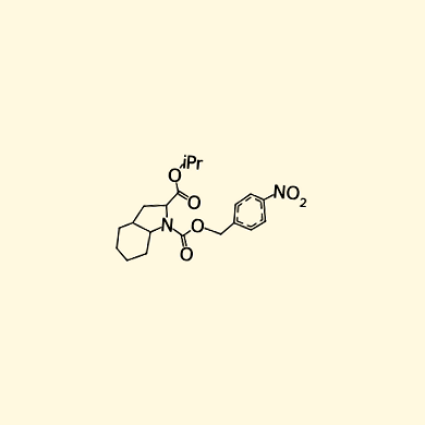 CC(C)OC(=O)C1CC2CCCCC2N1C(=O)OCc1ccc([N+](=O)[O-])cc1